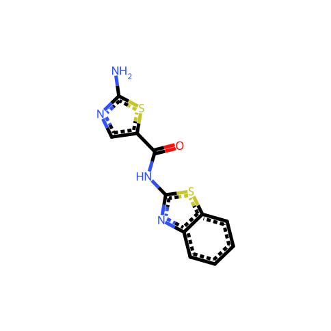 Nc1ncc(C(=O)Nc2nc3ccccc3s2)s1